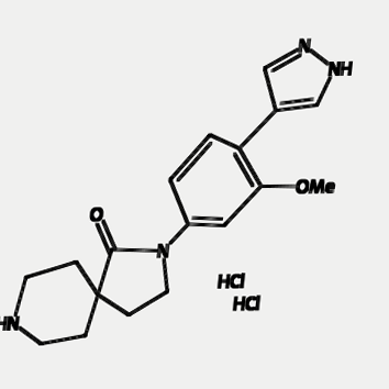 COc1cc(N2CCC3(CCNCC3)C2=O)ccc1-c1cn[nH]c1.Cl.Cl